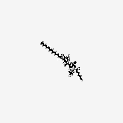 C#C[C@]1(COC(=O)CCCCCC)O[C@@H](n2cnc3c(NC(=O)CCCCCCCCCCCCC)nc(F)nc32)CC1O[Si](C)(C)C(C)(C)C